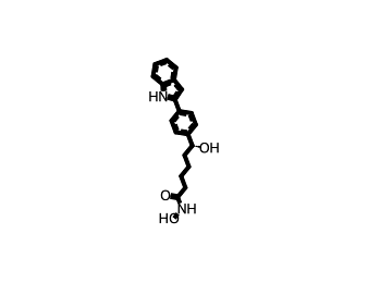 O=C(CCCC[C@@H](O)c1ccc(-c2cc3ccccc3[nH]2)cc1)NO